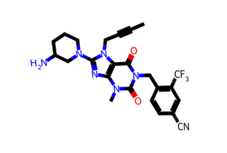 CC#CCn1c(N2CCCC(N)C2)nc2c1c(=O)n(Cc1ccc(C#N)cc1C(F)(F)F)c(=O)n2C